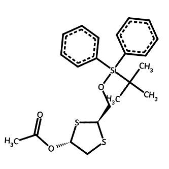 CC(=O)O[C@H]1CS[C@H](CO[Si](c2ccccc2)(c2ccccc2)C(C)(C)C)S1